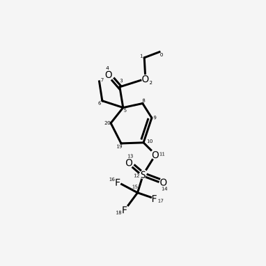 CCOC(=O)C1(CC)CC=C(OS(=O)(=O)C(F)(F)F)CC1